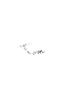 O=C1CCC(N2C(=O)c3ccc(N4CCN(CCCN5CCC(COc6ccc(Oc7c(-c8ccc(F)cc8)sc8cc(O)ccc78)cc6)CC5)CC4)cc3C2=O)C(=O)N1